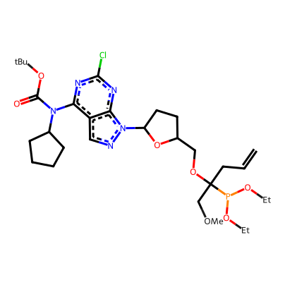 C=CCC(COC)(OCC1CCC(n2ncc3c(N(C(=O)OC(C)(C)C)C4CCCC4)nc(Cl)nc32)O1)P(OCC)OCC